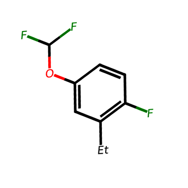 CCc1cc(OC(F)F)ccc1F